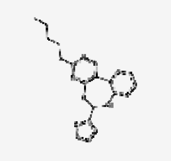 CCCCSc1nnc2c(n1)OC(c1cccs1)Nc1ccccc1-2